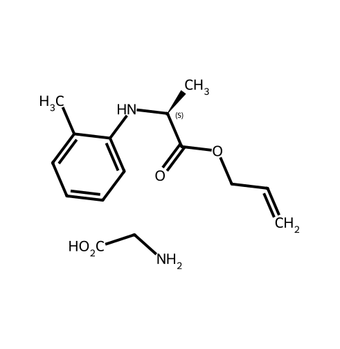 C=CCOC(=O)[C@H](C)Nc1ccccc1C.NCC(=O)O